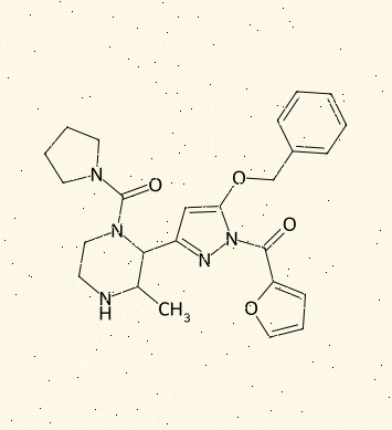 CC1NCCN(C(=O)N2CCCC2)C1c1cc(OCc2ccccc2)n(C(=O)c2ccco2)n1